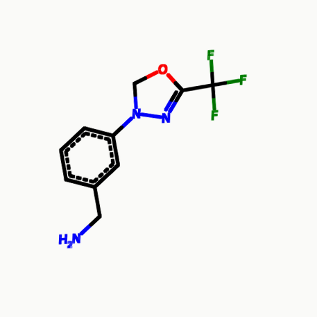 NCc1cccc(N2COC(C(F)(F)F)=N2)c1